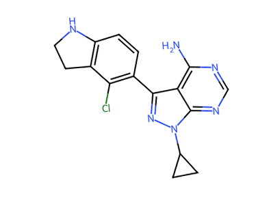 Nc1ncnc2c1c(-c1ccc3c(c1Cl)CCN3)nn2C1CC1